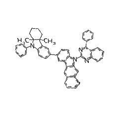 CC12CCCCC1(C)N(c1ccccc1)c1ccc(-c3ccc4c(c3)c3cc5ccccc5cc3n4-c3nc(-c4ccccc4)c4ccccc4n3)cc12